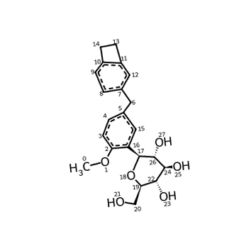 COc1ccc(Cc2ccc3c(c2)CC3)cc1[C@@H]1O[C@H](CO)[C@@H](O)[C@H](O)[C@H]1O